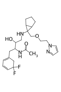 CC(=O)NC(CC1=CC=CC(F)(F)C1)C(O)CNC1(COCCn2cccn2)C2CCCC21